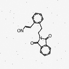 O=N/C=C/c1ccccc1CCN1C(=O)c2ccccc2C1=O